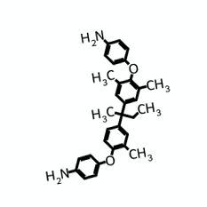 CCC(C)(c1ccc(Oc2ccc(N)cc2)c(C)c1)c1cc(C)c(Oc2ccc(N)cc2)c(C)c1